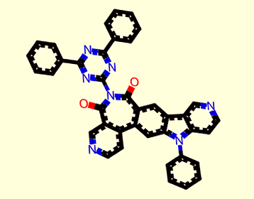 O=c1c2cnccc2c2cc3c(cc2c(=O)n1-c1nc(-c2ccccc2)nc(-c2ccccc2)n1)c1cnccc1n3-c1ccccc1